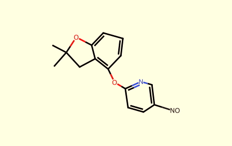 CC1(C)Cc2c(Oc3ccc(N=O)cn3)cccc2O1